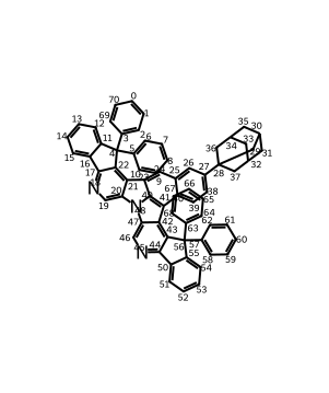 c1ccc(C2(c3ccccc3)c3ccccc3-c3ncc4c(c32)c2cc3cc(C56CC7CC(CC(C7)C5)C6)ccc3c3c5c6c(ncc5n4c23)-c2ccccc2C6(c2ccccc2)c2ccccc2)cc1